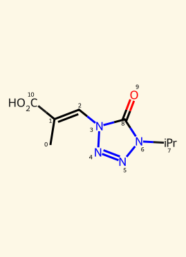 CC(=Cn1nnn(C(C)C)c1=O)C(=O)O